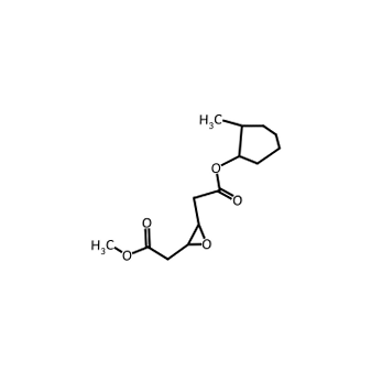 COC(=O)CC1OC1CC(=O)OC1CCCCC1C